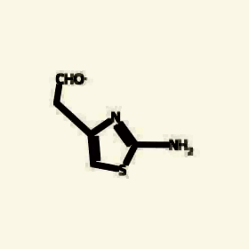 Nc1nc(C[C]=O)cs1